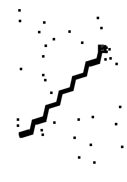 C=CC=CCCCCCCC=CCC